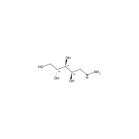 NNC[C@@H](O)[C@H](O)[C@H](O)CO